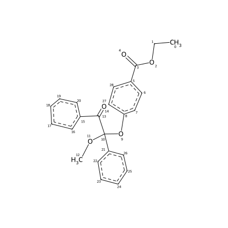 CCOC(=O)c1ccc(OC(OC)(C(=O)c2ccccc2)c2ccccc2)cc1